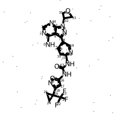 Nc1ncnc2c1c(-c1ccc(NC(=O)Nc3cc(C4(C(F)(F)F)CC4)no3)nc1)nn2C1COC1